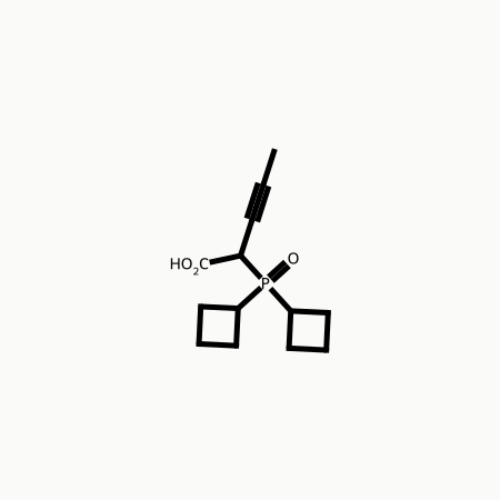 CC#CC(C(=O)O)P(=O)(C1CCC1)C1CCC1